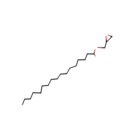 CCCCCCCCCCCCCCCCC(Br)OCC1CO1